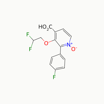 O=C(O)c1cc[n+]([O-])c(-c2ccc(F)cc2)c1OCC(F)F